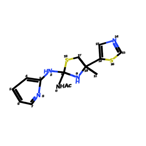 CC(=O)NC1(Nc2ccccn2)NC(C)(c2cncs2)CS1